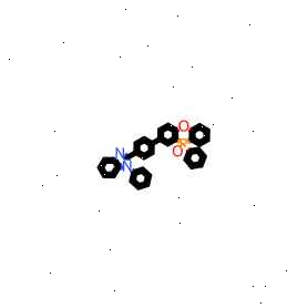 O=P1(c2ccccc2)c2ccccc2Oc2ccc(-c3ccc(-c4nc5ccccc5n4-c4ccccc4)cc3)cc21